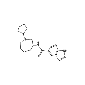 O=C(NC1CCCCN(C2CCCC2)C1)c1ccc2[nH]ncc2c1